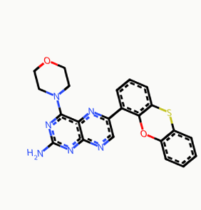 Nc1nc(N2CCOCC2)c2nc(-c3cccc4c3Oc3ccccc3S4)cnc2n1